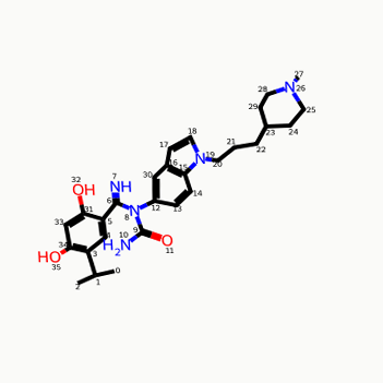 CC(C)c1cc(C(=N)N(C(N)=O)c2ccc3c(ccn3CCCC3CCN(C)CC3)c2)c(O)cc1O